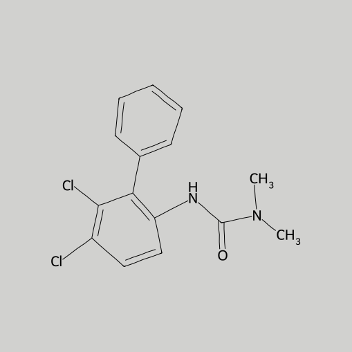 CN(C)C(=O)Nc1ccc(Cl)c(Cl)c1-c1ccccc1